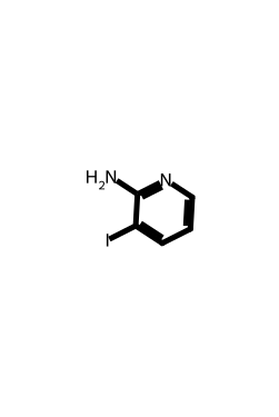 Nc1ncccc1I